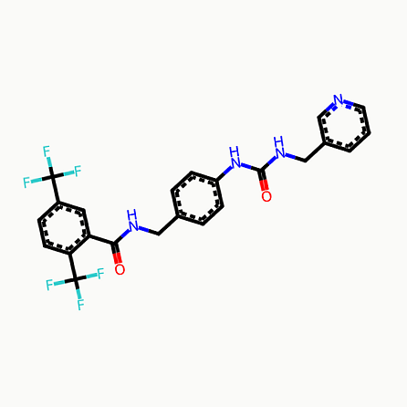 O=C(NCc1cccnc1)Nc1ccc(CNC(=O)c2cc(C(F)(F)F)ccc2C(F)(F)F)cc1